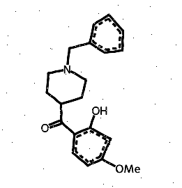 COc1ccc(C(=O)C2CCN(Cc3ccccc3)CC2)c(O)c1